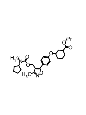 Cc1noc(-c2ccc(OC3CCCC(C(=O)OC(C)C)C3)cc2)c1COC(=O)N(C)C1CCCC1